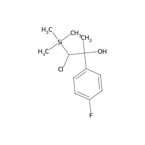 CC(O)(c1ccc(F)cc1)C(Cl)[Si](C)(C)C